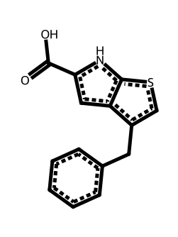 O=C(O)c1cc2c(Cc3ccccc3)csc2[nH]1